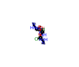 COC1c2nc(NCCN(C)C)ccc2C=C(c2cc(NC(=O)c3cc(Cl)nc(NCCN(C)C)c3)ccc2Cl)[NH+]1[O-]